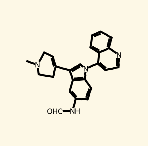 CN1CC=C(c2cn(-c3ccnc4ccccc34)c3ccc(NC=O)cc23)CC1